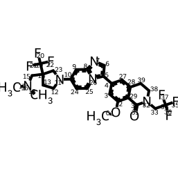 COc1cc(-c2cnc3cc(N4CCC(CN(C)C)(C(F)(F)F)C4)ccn23)cc2c1C(=O)N(CC(F)(F)F)CC2